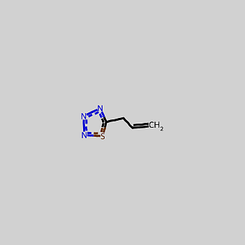 C=CCc1nnns1